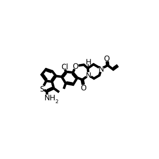 C=CC(=O)N1CCN2C(=O)c3cc(C)c(-c4cccc5sc(N)c(C)c45)c(Cl)c3OC[C@H]2C1